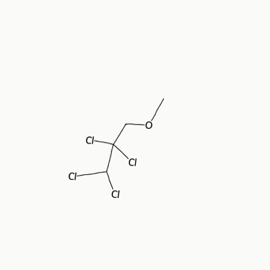 COCC(Cl)(Cl)C(Cl)Cl